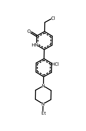 CCN1CCN(c2ccc(-c3ccc(CCl)c(=O)[nH]3)cc2)CC1.Cl